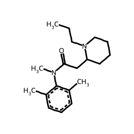 CCCN1CCCCC1CC(=O)N(C)c1c(C)cccc1C